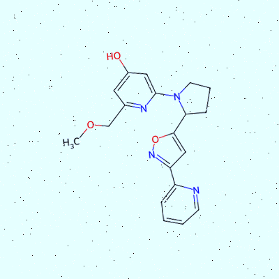 COCc1cc(O)cc(N2CCCC2c2cc(-c3ccccn3)no2)n1